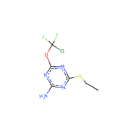 CCSc1nc(N)nc(OC(F)(F)Cl)n1